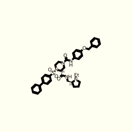 CCN1CCC[C@H]1CNC(=O)[C@H]1CN(C(=O)Nc2ccc(OCc3ccccc3)cc2)CCN1S(=O)(=O)c1ccc(-c2ccccc2)cc1